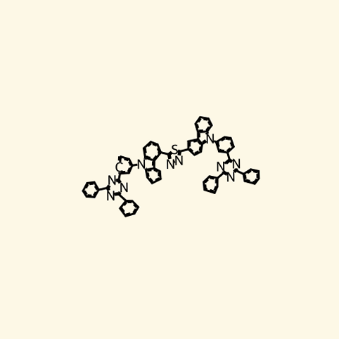 c1ccc(-c2nc(-c3ccccc3)nc(-c3cccc(-n4c5ccccc5c5cc(-c6nnc(-c7cccc8c7c7ccccc7n8-c7cccc(-c8nc(-c9ccccc9)nc(-c9ccccc9)n8)c7)s6)ccc54)c3)n2)cc1